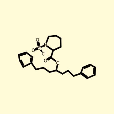 O=C(OC(CCCc1ccccc1)CCCc1ccccc1)C1CCCCN1S(=O)(=O)Cl